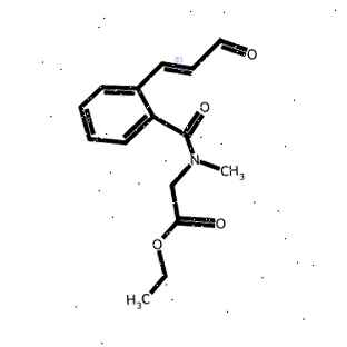 CCOC(=O)CN(C)C(=O)c1ccccc1/C=C/[C]=O